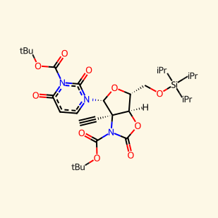 C#C[C@]12[C@H](OC(=O)N1C(=O)OC(C)(C)C)[C@@H](CO[Si](C(C)C)(C(C)C)C(C)C)O[C@H]2n1ccc(=O)n(C(=O)OC(C)(C)C)c1=O